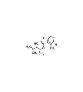 C[C@H](NC(=O)[C@@H]1[C@H]2CC[C@H](C2)N1C)C(O)N(C)C